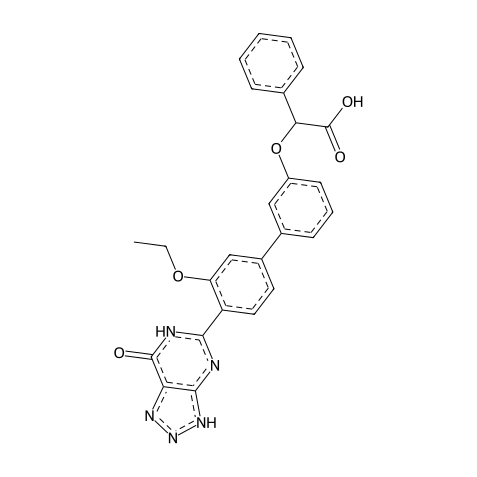 CCOc1cc(-c2cccc(OC(C(=O)O)c3ccccc3)c2)ccc1-c1nc2[nH]nnc2c(=O)[nH]1